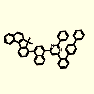 CC1(C)c2ccc3ccccc3c2-c2cccc(-c3ccc(-c4cc(-c5ccccc5-c5ccc(-c6ccccc6)cc5)nc(-c5ccccc5)n4)c4ccccc34)c21